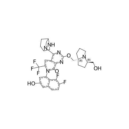 O=c1c2nc(OC[C@]34CCCN3[C@@H](CO)CC4)nc(N3CC4CCC3CN4)c2cc(C(F)(F)F)n1-c1cc(O)cc2ccc(F)c(F)c12